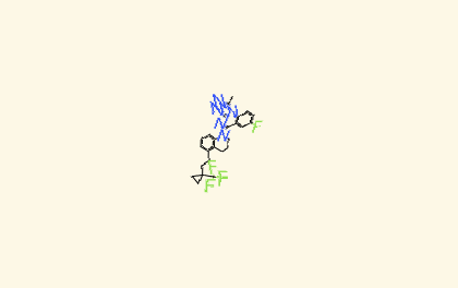 Cc1nnc2nc(N3CCCc4c(CCC5(C(F)(F)F)CC5)cccc43)c3cc(F)ccc3n12